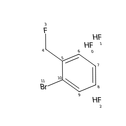 F.F.F.FCc1ccccc1Br